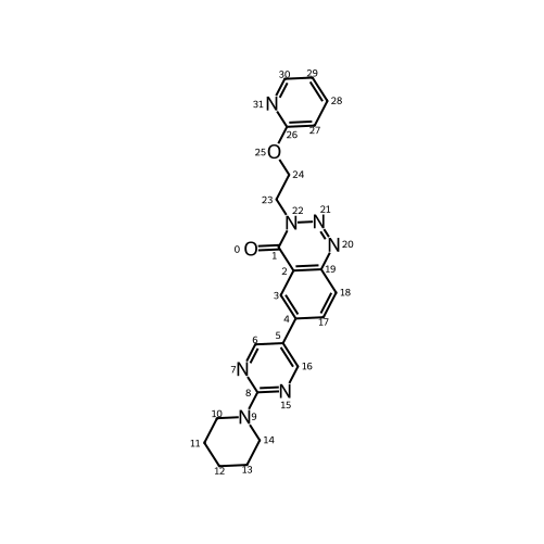 O=c1c2cc(-c3cnc(N4CCCCC4)nc3)ccc2nnn1CCOc1ccccn1